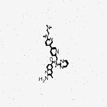 Cc1cc2cc(C(=O)N(Cc3ccc(-c4ccc(N(C)CCN(C)C)nc4)cn3)N(C)c3ncccn3)ccc2nc1N